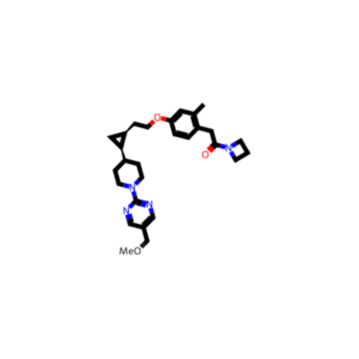 COCc1cnc(N2CCC([C@H]3C[C@H]3CCOc3ccc(CC(=O)N4CCC4)c(C)c3)CC2)nc1